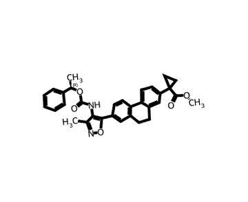 COC(=O)C1(c2ccc3c(c2)CCc2cc(-c4onc(C)c4NC(=O)O[C@H](C)c4ccccc4)ccc2-3)CC1